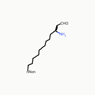 CCCCCCCCCCCCCCCCCCC(N)=CC=O